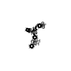 CS(=O)(=O)N1CCN(Cc2cc3nc(-c4ccc(NC(=O)Nc5ccccc5)cc4)nc(N4CC5CCC(C4)O5)c3s2)CC1